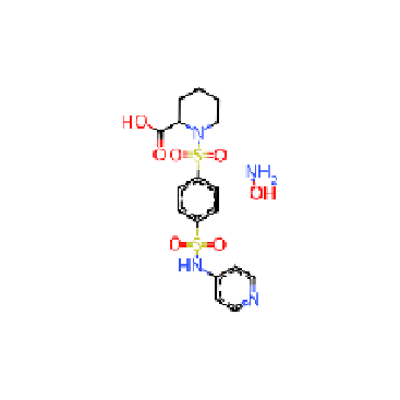 NO.O=C(O)C1CCCCN1S(=O)(=O)c1ccc(S(=O)(=O)Nc2ccncc2)cc1